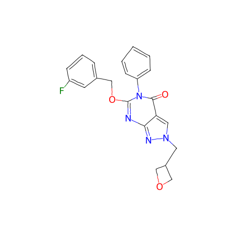 O=c1c2cn(CC3COC3)nc2nc(OCc2cccc(F)c2)n1-c1ccccc1